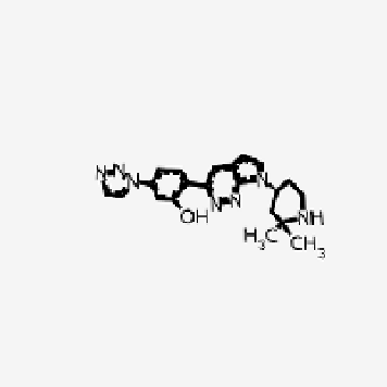 CC1(C)C[C@@H](n2ccc3cc(-c4ccc(-n5ccnn5)cc4O)nnc32)CCN1